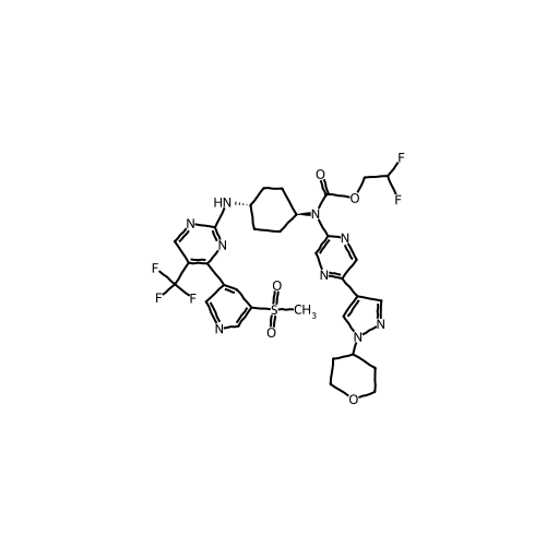 CS(=O)(=O)c1cncc(-c2nc(N[C@H]3CC[C@H](N(C(=O)OCC(F)F)c4cnc(-c5cnn(C6CCOCC6)c5)cn4)CC3)ncc2C(F)(F)F)c1